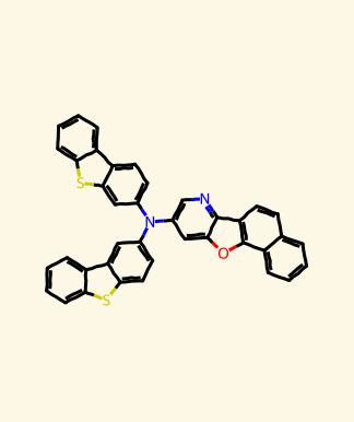 c1ccc2c(c1)ccc1c3ncc(N(c4ccc5c(c4)sc4ccccc45)c4ccc5sc6ccccc6c5c4)cc3oc21